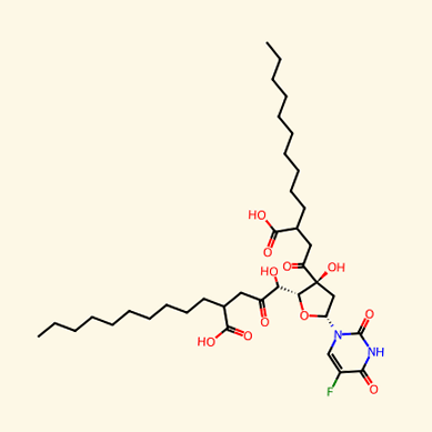 CCCCCCCCCCC(CC(=O)C(O)[C@H]1O[C@@H](n2cc(F)c(=O)[nH]c2=O)C[C@@]1(O)C(=O)CC(CCCCCCCCCC)C(=O)O)C(=O)O